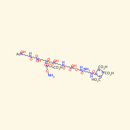 CC(=O)N(O)CCCCCNC(=O)CCC(=O)N(O)CCCCCN(C(=O)CCC(=O)N(O)CCCCCNC(=O)CCCC(=O)N(O)CCOCCNC(=O)[C@@H](N)CCCCNC(=O)CN1CCN(CC(=O)O)CCN(CC(=O)O)CCN(CC(=O)O)CC1)C(C)(C)ON(CCOCCN)C(=O)CCCC(=O)O